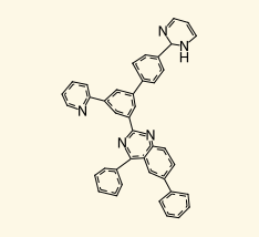 C1=CNC(c2ccc(-c3cc(-c4ccccn4)cc(-c4nc(-c5ccccc5)c5cc(-c6ccccc6)ccc5n4)c3)cc2)N=C1